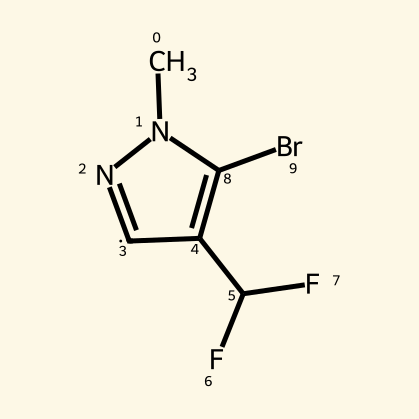 Cn1n[c]c(C(F)F)c1Br